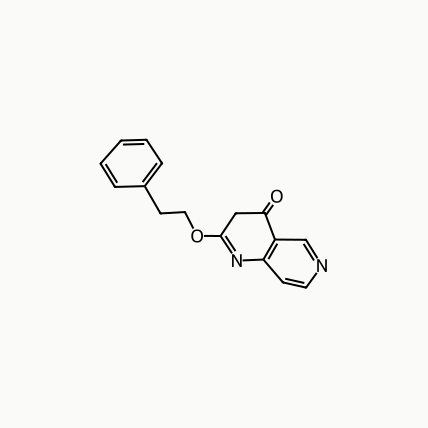 O=C1CC(OCCc2ccccc2)=Nc2ccncc21